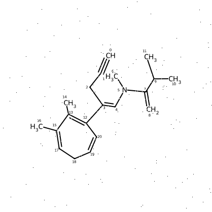 C#CC/C(=C\N(C)C(=C)C(C)C)C1=C(C)C(C)=CCC=C1